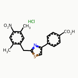 Cc1cc([N+](=O)[O-])c(C)cc1Cc1nc(-c2ccc(C(=O)O)cc2)cs1.Cl